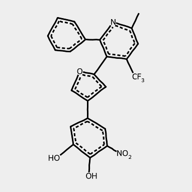 Cc1cc(C(F)(F)F)c(-c2cc(-c3cc(O)c(O)c([N+](=O)[O-])c3)co2)c(-c2ccccc2)n1